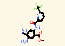 COC(=O)c1cc(N)c(C=N)cc1NC(=O)c1cccc(C(F)(F)F)n1